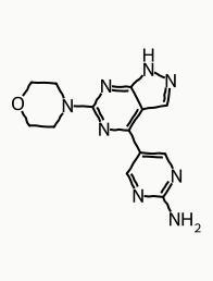 Nc1ncc(-c2nc(N3CCOCC3)nc3[nH]ncc23)cn1